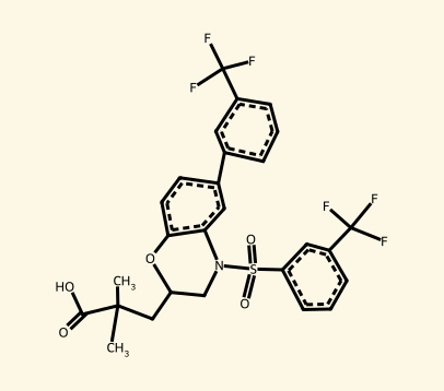 CC(C)(CC1CN(S(=O)(=O)c2cccc(C(F)(F)F)c2)c2cc(-c3cccc(C(F)(F)F)c3)ccc2O1)C(=O)O